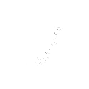 COc1ccc2cc([C@H](C)C(=O)OCCNC(=O)CNC(=O)OC(C)(C)C)ccc2c1